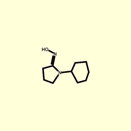 ON=C1CCCN1C1CCCCC1